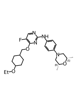 CCOC1CCC(COc2nc(Nc3ccc(N4C[C@@H](C)O[C@@H](C)C4)cc3)ncc2F)CC1